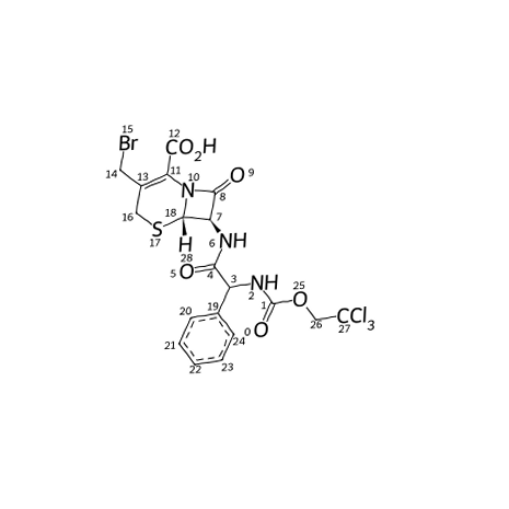 O=C(NC(C(=O)N[C@@H]1C(=O)N2C(C(=O)O)=C(CBr)CS[C@@H]12)c1ccccc1)OCC(Cl)(Cl)Cl